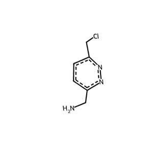 NCc1ccc(CCl)nn1